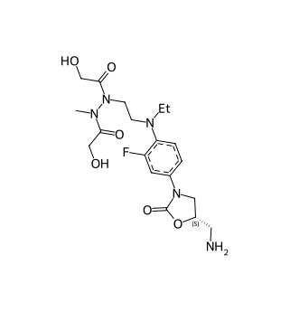 CCN(CCN(C(=O)CO)N(C)C(=O)CO)c1ccc(N2C[C@H](CN)OC2=O)cc1F